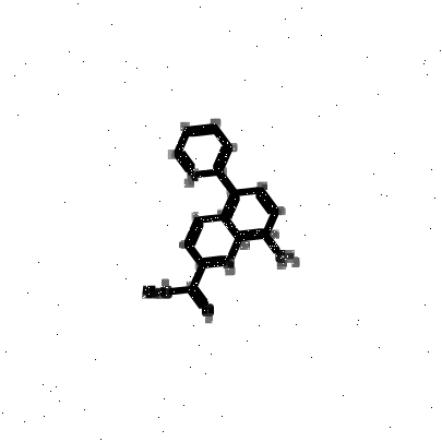 COC(=O)c1ccc2c(-c3ccccn3)ccc(C)c2n1